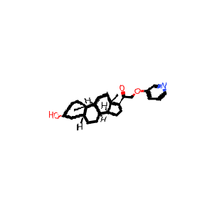 C[C@]12CC[C@@H](O)C[C@H]1CC[C@@H]1[C@@H]2CC[C@]2(C)[C@@H](C(=O)COc3cccnc3)CC[C@@H]12